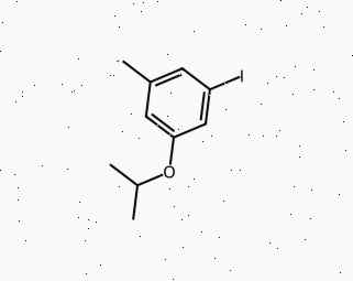 [CH2]c1cc(I)cc(OC(C)C)c1